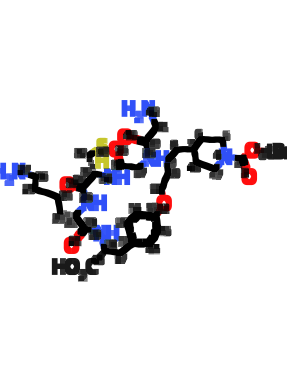 CC(C)(C)OC(=O)N1CCC(CCCCOc2ccc(C[C@H](NC(=O)[C@H](CCCCN)NC(=O)[C@H](CS)NC(=O)CNC(=O)CN)C(=O)O)cc2)CC1